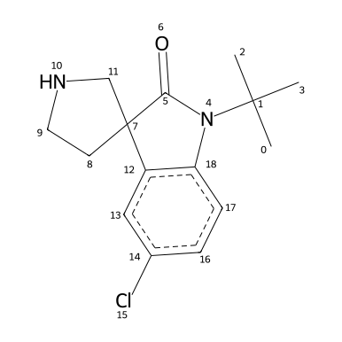 CC(C)(C)N1C(=O)C2(CCNC2)c2cc(Cl)ccc21